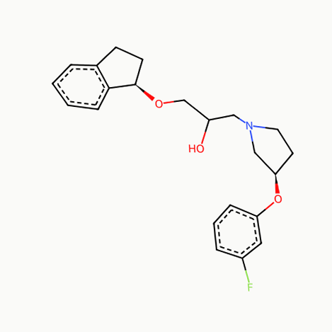 OC(CO[C@@H]1CCc2ccccc21)CN1CC[C@@H](Oc2cccc(F)c2)C1